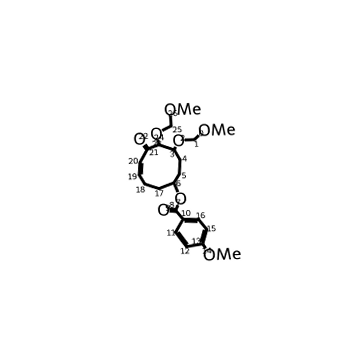 COCOC1CCC(OC(=O)c2ccc(OC)cc2)CCC=CC(=O)C1OCOC